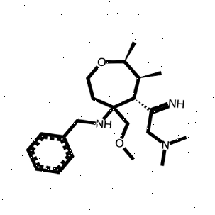 COCC1(NCc2ccccc2)CCO[C@@H](C)[C@@H](C)[C@@H]1C(=N)CN(C)C